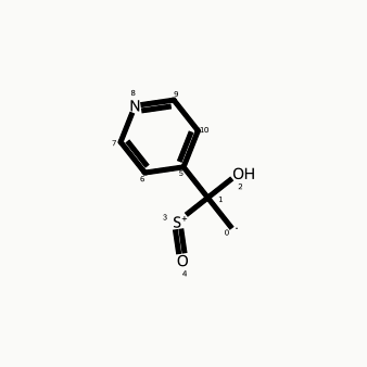 [CH2]C(O)([S+]=O)c1ccncc1